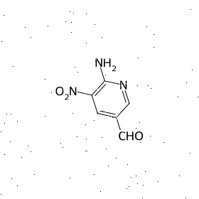 Nc1ncc(C=O)cc1[N+](=O)[O-]